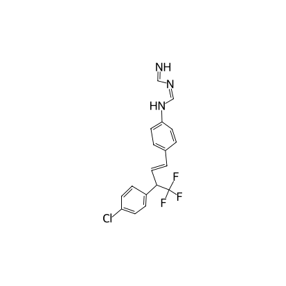 N=C/N=C\Nc1ccc(/C=C/C(c2ccc(Cl)cc2)C(F)(F)F)cc1